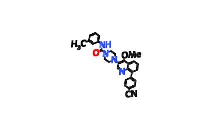 COc1c(N2CCN(C(=O)Nc3cccc(C)c3)CC2)cnc2c(-c3ccc(C#N)cc3)cccc12